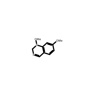 COc1ccc2c(c1)N(OC)CN=C2